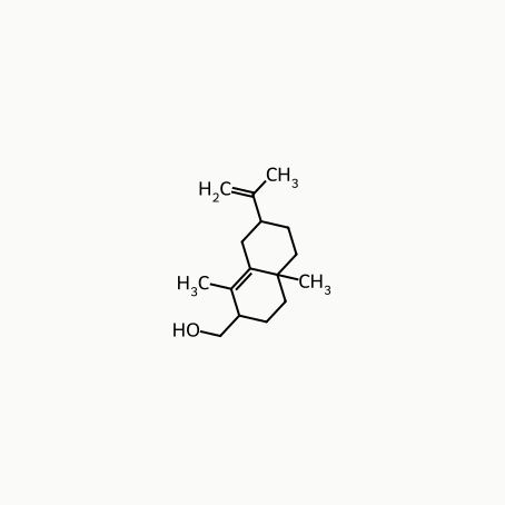 C=C(C)C1CCC2(C)CCC(CO)C(C)=C2C1